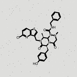 C[C@H]1C2N(C(=O)CN(C)N2C(=O)NCc2ccccc2)[C@@H](Cc2ccc(O)cc2)C(=O)N1Cc1csc2ccc(Cl)nc12